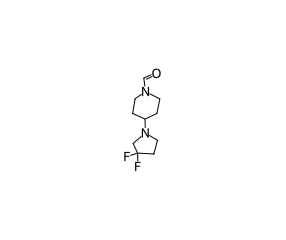 O=CN1CCC(N2CCC(F)(F)C2)CC1